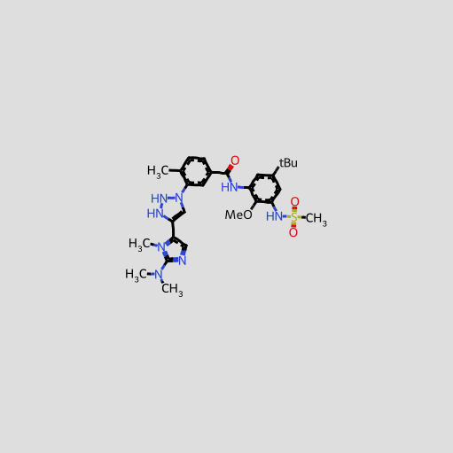 COc1c(NC(=O)c2ccc(C)c(N3C=C(c4cnc(N(C)C)n4C)NN3)c2)cc(C(C)(C)C)cc1NS(C)(=O)=O